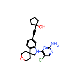 Nc1ncc(Cl)c(N2CC3(CCOCC3)c3ccc(C#CC4(O)CCCC4)cc32)n1